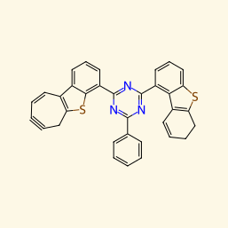 C1#CCc2sc3c(-c4nc(-c5ccccc5)nc(-c5cccc6sc7c(c56)C=CCC7)n4)cccc3c2C=C1